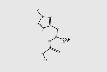 Cn1cnc(CC(NC(=O)C[O])C(=O)O)c1